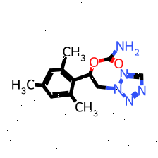 Cc1cc(C)c(C(Cn2ncnn2)OC(N)=O)c(C)c1